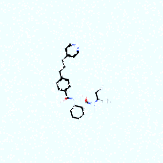 CC(C)C[C@@H](C#N)NC(=O)[C@@H]1CCCC[C@@H]1NC(=O)c1ccc(CCCc2ccncc2)cc1